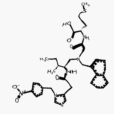 CC[C@H](C)[C@@H](CN(CC(=O)N[C@@H](CCSC)C(=O)O)Cc1cccc2ccccc12)NC(=O)Cc1cncn1Cc1ccc([N+](=O)[O-])cc1